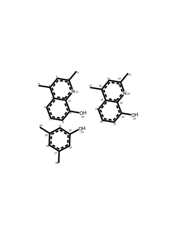 Cc1cc(C)c2cccc(O)c2n1.Cc1cc(C)c2cccc(O)c2n1.Cc1cc(C)cc(O)c1